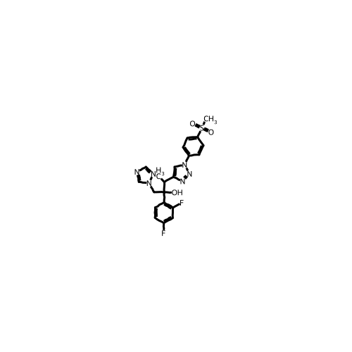 CC(c1cn(-c2ccc(S(C)(=O)=O)cc2)nn1)C(O)(Cn1cncn1)c1ccc(F)cc1F